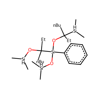 CCCCC(CC)(O[Si](O[SiH](C)C)(c1ccccc1)C(CC)(CCCC)O[SiH](C)C)[SiH](C)C